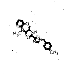 Cc1ccc(Cn2cnc(C(=O)NC3COc4cccnc4N(C)C3=S)n2)cc1